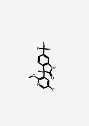 COc1ncc(Cl)cc1[C@@]1(C)C(=O)Nc2cc(C(F)(F)F)ccc21